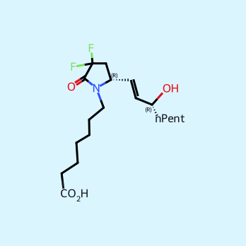 CCCCC[C@@H](O)C=C[C@H]1CC(F)(F)C(=O)N1CCCCCCC(=O)O